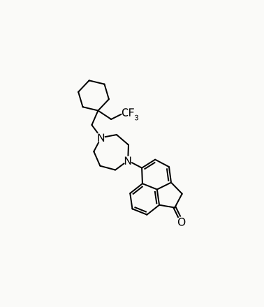 O=C1Cc2ccc(N3CCCN(CC4(CC(F)(F)F)CCCCC4)CC3)c3cccc1c23